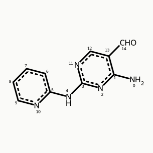 Nc1nc(Nc2ccccn2)ncc1C=O